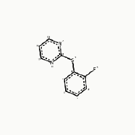 Fc1c[c]ccc1Sc1ncccn1